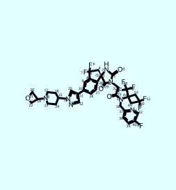 O=C1N[C@]2(CC(F)(F)c3cc(-c4cnn(C5CCN(C6COC6)CC5)c4)ccc32)C(=O)N1CC(=O)N(Cc1ccc(F)cn1)C1(C(F)(F)F)CC(F)(F)C1